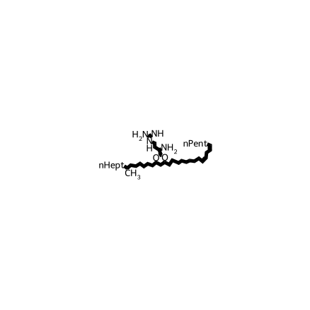 CCCCC/C=C\C/C=C\CCCCCCCCC(CCCCCCCCC(C)CCCCCCC)OC(=O)C(N)CCNC(=N)N